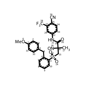 COc1ccc(Cc2ccccc2S(=O)(=O)CC(C)(N=O)C(=O)Nc2ccc(C#N)c(C(F)(F)F)c2)cc1